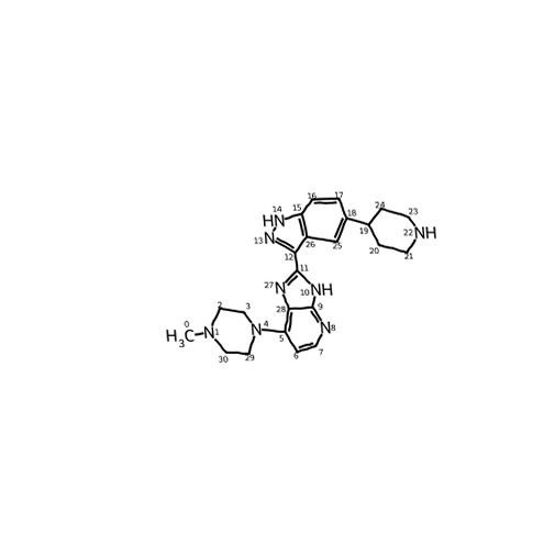 CN1CCN(c2ccnc3[nH]c(-c4n[nH]c5ccc(C6CCNCC6)cc45)nc23)CC1